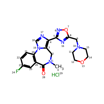 CN1Cc2c(-c3noc(CN4CCOCC4)n3)ncn2-c2ccc(F)cc2C1=O.Cl